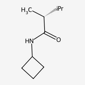 CC(C)[C@@H](C)C(=O)NC1CCC1